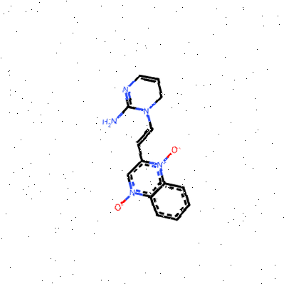 NC1=NC=CCN1C=Cc1c[n+]([O-])c2ccccc2[n+]1[O-]